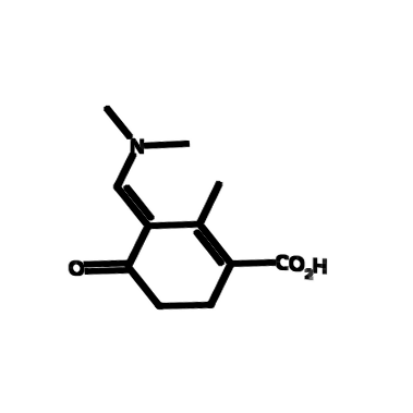 CC1=C(C(=O)O)CCC(=O)C1=CN(C)C